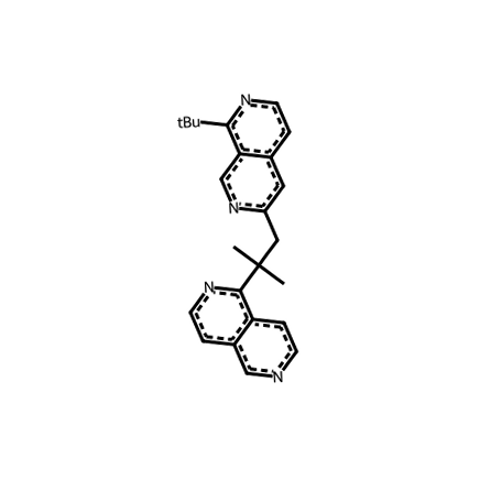 CC(C)(C)c1nccc2cc(CC(C)(C)c3nccc4cnccc34)ncc12